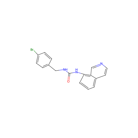 O=C(NCc1ccc(Br)cc1)Nc1cccc2ccncc12